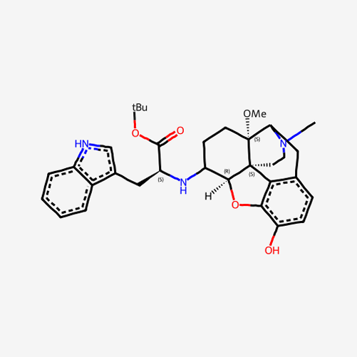 CO[C@@]12CCC(N[C@@H](Cc3c[nH]c4ccccc34)C(=O)OC(C)(C)C)[C@@H]3Oc4c(O)ccc5c4[C@@]31CCN(C)C2C5